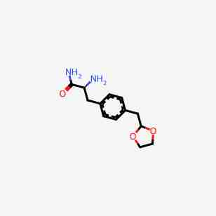 NC(=O)[C@@H](N)Cc1ccc(CC2OCCO2)cc1